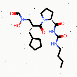 CCCCNC(=O)NC(=O)[C@@H]1CCCN1C(=O)[C@H](CC1CCCC1)CN(O)C=O